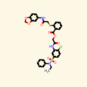 CCN(c1ccccc1)S(=O)(=O)c1ccc(Cl)c(NC(=O)COC(=O)c2ccccc2SCC(=O)Nc2ccc3c(c2)OCO3)c1